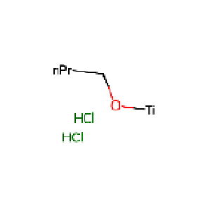 CCCC[O][Ti].Cl.Cl